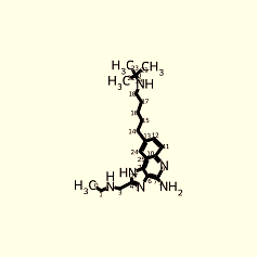 CCNCc1nc2c(N)nc3ccc(CCCCCNC(C)(C)C)cc3c2[nH]1